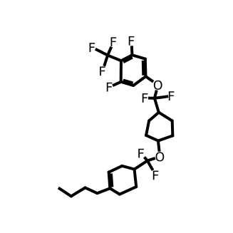 CCCCC1=CCC(C(F)(F)OC2CCC(C(F)(F)Oc3cc(F)c(C(F)(F)F)c(F)c3)CC2)CC1